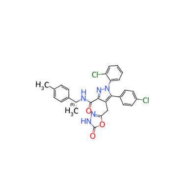 Cc1ccc([C@@H](C)NC(=O)c2nn(-c3ccccc3Cl)c(-c3ccc(Cl)cc3)c2Cc2n[nH]c(=O)o2)cc1